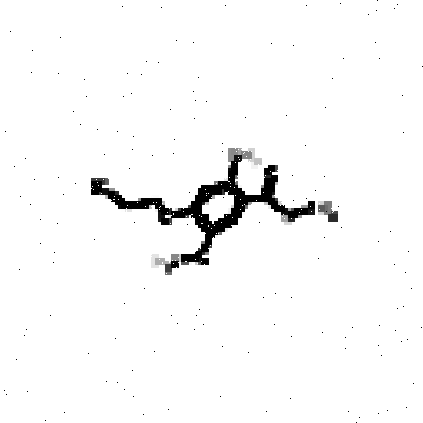 COC(=O)c1cc(OC)c(OCCO)cc1N